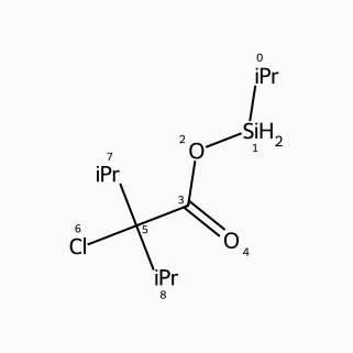 CC(C)[SiH2]OC(=O)C(Cl)(C(C)C)C(C)C